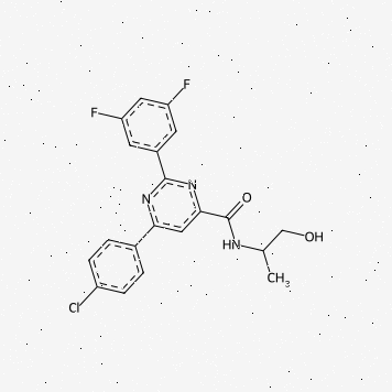 CC(CO)NC(=O)c1cc(-c2ccc(Cl)cc2)nc(-c2cc(F)cc(F)c2)n1